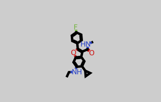 CCNc1cc2oc(-c3ccc(F)cc3)c(C(=O)NC)c2cc1C1CC1